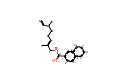 C=CC(C)CCC=C(C)COC(=O)c1ccc2ccccc2c1